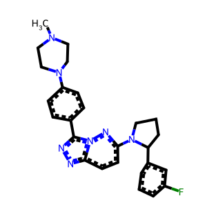 CN1CCN(c2ccc(-c3nnc4ccc(N5CCCC5c5cccc(F)c5)nn34)cc2)CC1